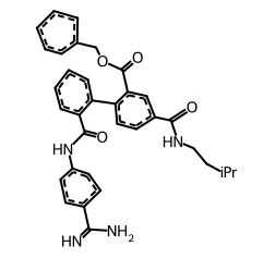 CC(C)CCNC(=O)c1ccc(-c2ccccc2C(=O)Nc2ccc(C(=N)N)cc2)c(C(=O)OCc2ccccc2)c1